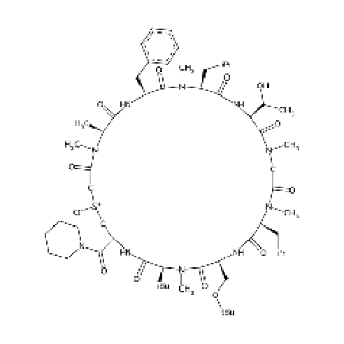 CCC(C)[C@H]1C(=O)N[C@H](C(=O)N2CCCCC2)C[S+]([O-])CC(=O)N(C)[C@@H](C)C(=O)N[C@@H](Cc2ccccc2)C(=O)N(C)[C@@H](CC(C)C)C(=O)N[C@@H](C(C)O)C(=O)N(C)CC(=O)N(C)[C@@H](CC(C)C)C(=O)N[C@@H](COC(C)(C)C)C(=O)N1C